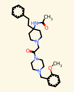 COc1ccccc1CN1CCN(C(=O)CN2CCC(CCc3ccccc3)(NC(C)=O)CC2)CC1